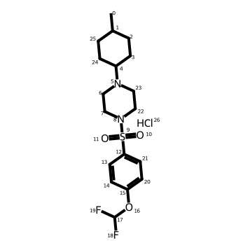 CC1CCC(N2CCN(S(=O)(=O)c3ccc(OC(F)F)cc3)CC2)CC1.Cl